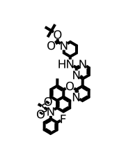 Cc1ccc2c(N(c3ccccc3F)S(C)(=O)=O)cccc2c1Oc1ncccc1-c1ccnc(NC2CCCN(C(=O)OC(C)(C)C)C2)n1